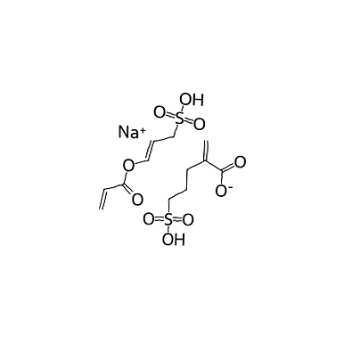 C=C(CCCS(=O)(=O)O)C(=O)[O-].C=CC(=O)OC=CCS(=O)(=O)O.[Na+]